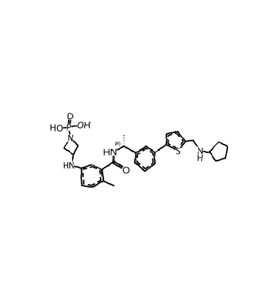 Cc1ccc(NC2CN(P(=O)(O)O)C2)cc1C(=O)N[C@H](C)c1cccc(-c2ccc(CNC3CCCC3)s2)c1